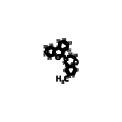 Cc1ccc2c(c1)CN(C(=O)c1ccccc1-c1ccncc1)CCO2